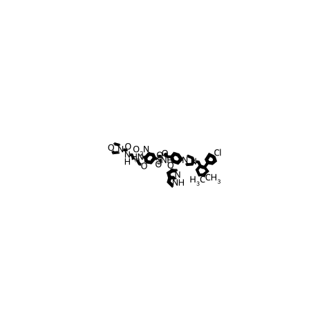 CC1(C)CCC(CN2CCN(c3ccc(C(=O)NS(=O)(=O)c4cc5c(c([N+](=O)[O-])c4)N[C@@H](CCNC(=O)N4CCOCC4)CO5)c(Oc4cnc5[nH]ccc5c4)c3)CC2)=C(c2ccc(Cl)cc2)C1